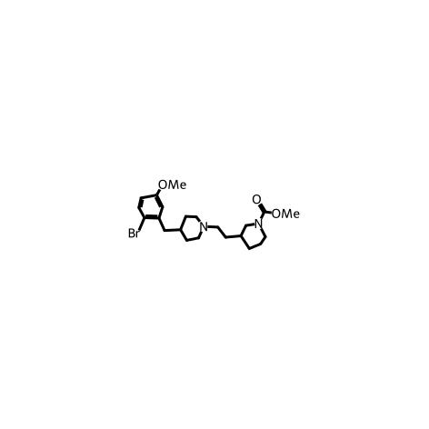 COC(=O)N1CCCC(CCN2CCC(Cc3cc(OC)ccc3Br)CC2)C1